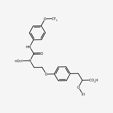 CCCCCCCCN(CCOc1ccc(CC(OCC)C(=O)O)cc1)C(=O)Nc1ccc(OC(F)(F)F)cc1